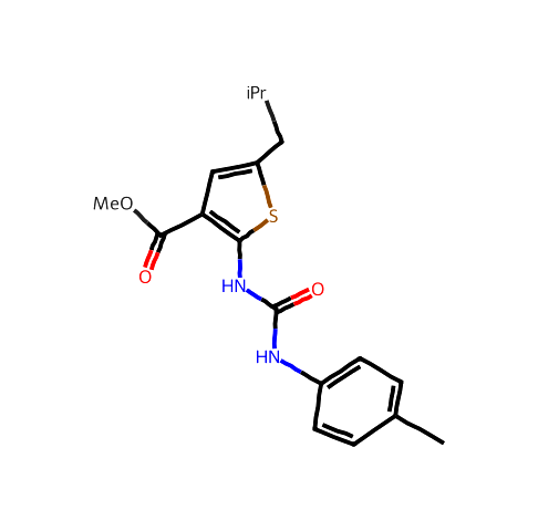 COC(=O)c1cc(CC(C)C)sc1NC(=O)Nc1ccc(C)cc1